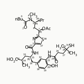 CCCCC(=O)N(C)[C@H](C[C@@H](OC(C)=O)c1nc(C(=O)N[C@@H](Cc2ccc(O)c(NC(=O)CCC(C)(C)S)c2)CC(C)C(=O)O)cs1)C(C)C